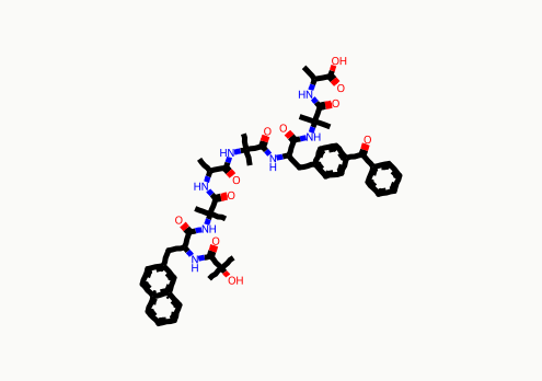 CC(NC(=O)C(C)(C)NC(=O)C(Cc1ccc(C(=O)c2ccccc2)cc1)NC(=O)C(C)(C)NC(=O)C(C)NC(=O)C(C)(C)NC(=O)C(Cc1ccc2ccccc2c1)NC(=O)C(C)(C)O)C(=O)O